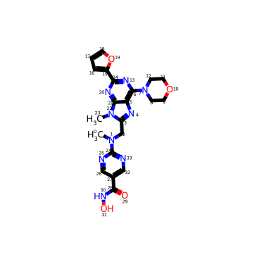 CN(Cc1nc2c(N3CCOCC3)nc(-c3ccco3)nc2n1C)c1ncc(C(=O)NO)cn1